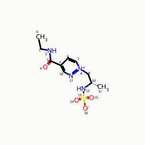 CCNC(=O)c1cc[n+](C[C@H](C)NS(=O)(=O)[O-])nc1